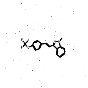 Cn1nc(/C=C/c2ccc(OC(F)(F)F)cc2)c2ccccc21